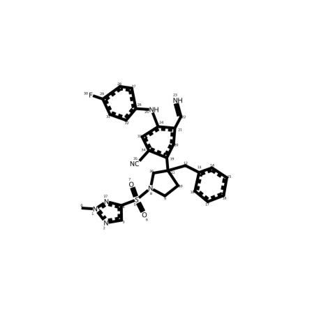 Cn1ncc(S(=O)(=O)N2CCC(Cc3ccccc3)(c3cc(C=N)c(Nc4ccc(F)cc4)cc3C#N)C2)n1